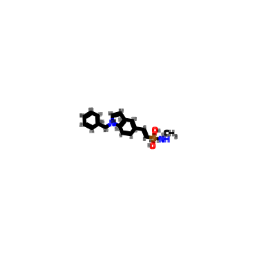 CNS(=O)(=O)/C=C/c1ccc2c(ccn2Cc2ccccc2)c1